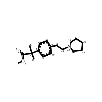 COC(=O)C(C)(C)c1ccc(CCN2CCCCC2)cc1